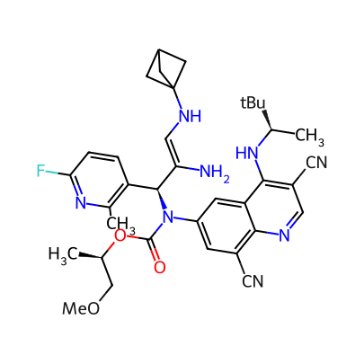 COC[C@@H](C)OC(=O)N(c1cc(C#N)c2ncc(C#N)c(N[C@H](C)C(C)(C)C)c2c1)[C@H](/C(N)=C/NC12CC(C1)C2)c1ccc(F)nc1C